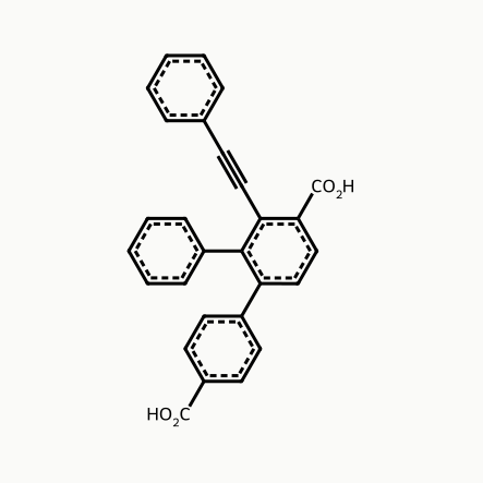 O=C(O)c1ccc(-c2ccc(C(=O)O)c(C#Cc3ccccc3)c2-c2ccccc2)cc1